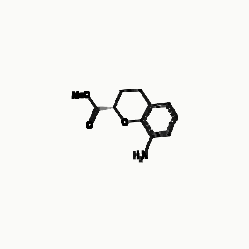 COC(=O)[C@@H]1CCc2cccc(N)c2O1